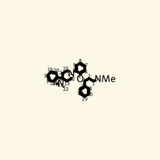 CNCCC(Oc1ccccc1N1CCC(c2ccccc2)(N(C)C)CC1)c1ccccc1